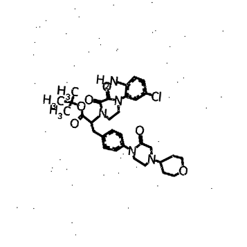 CC(C)(C)OC(=O)C(Cc1ccc(N2CCN(C3CCOCC3)CC2=O)cc1)N1CCN(c2cc(Cl)ccc2N)C(=O)C1=O